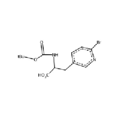 CC(C)(C)OC(=O)NC(Cc1ccc(Br)nc1)C(=O)O